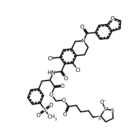 CS(=O)(=O)c1cccc(CC(NC(=O)c2c(Cl)cc3c(c2Cl)CCN(C(=O)c2ccc4ccoc4c2)C3)C(=O)OCOC(=O)CCCC[C@@H]2CCS[S+]2[O-])c1